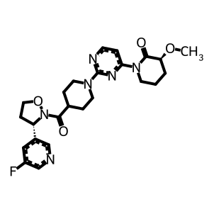 CO[C@H]1CCCN(c2ccnc(N3CCC(C(=O)N4OCC[C@H]4c4cncc(F)c4)CC3)n2)C1=O